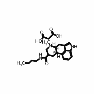 CCCCNC(=O)C1C[C@@H]2c3cccc4[nH]cc(c34)C[C@H]2N(C)C1.O=C(O)CC(=O)O